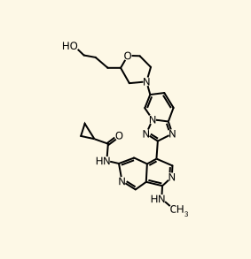 CNc1ncc(-c2nc3ccc(N4CCOC(CCCO)C4)cn3n2)c2cc(NC(=O)C3CC3)ncc12